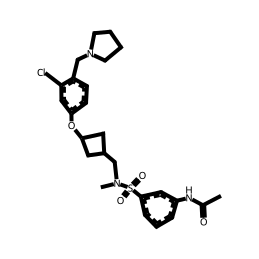 CC(=O)Nc1cccc(S(=O)(=O)N(C)CC2CC(Oc3ccc(CN4CCCC4)c(Cl)c3)C2)c1